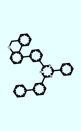 c1ccc(-c2cccc(-c3nc(-c4ccccc4)nc(-c4cccc(-c5cccc6c5-c5ccccc5CO6)c4)n3)c2)cc1